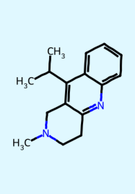 CC(C)c1c2c(nc3ccccc13)CCN(C)C2